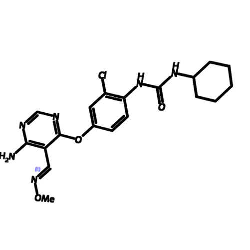 CO/N=C/c1c(N)ncnc1Oc1ccc(NC(=O)NC2CCCCC2)c(Cl)c1